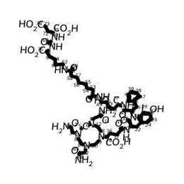 NC(=O)CN1CCN(CC(N)=O)CCN(C(CCC(=O)NC(Cc2ccc(O)c(I)c2)C(=O)NC(Cc2ccccc2)C(=O)NC(CCCCNC(=O)CCCCCCC(=O)NCCCCC(NC(=O)NC(CCC(=O)O)C(=O)O)C(=O)O)C(=O)O)C(=O)O)CCN(CC(N)=O)CC1